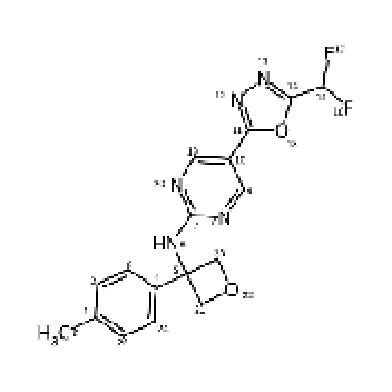 Cc1ccc(C2(Nc3ncc(-c4nnc(C(F)F)o4)cn3)COC2)cc1